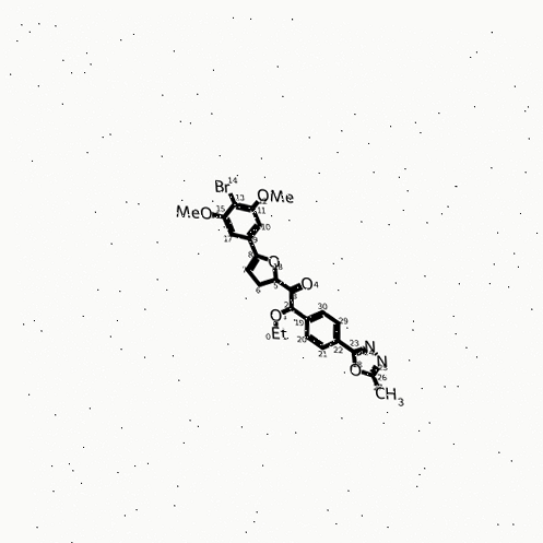 CCOC(C(=O)C1CC=C(c2cc(OC)c(Br)c(OC)c2)O1)c1ccc(-c2nnc(C)o2)cc1